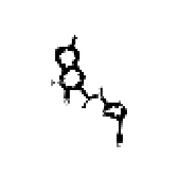 C[C@H](Nc1ncc(C#N)s1)c1cc2cc(Cl)ccc2[nH]c1=O